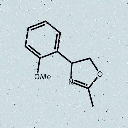 COc1ccccc1C1COC(C)=N1